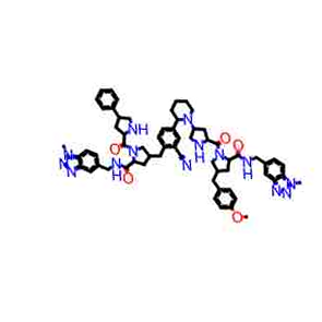 COc1ccc(CC2CC(C(=O)NCc3ccc4c(c3)nnn4C)N(C(=O)C3CC(N4CCCCC4c4ccc(CC5CC(C(=O)NCc6ccc7c(c6)nnn7C)N(C(=O)C6CC(c7ccccc7)CN6)C5)c(C#N)c4)CN3)C2)cc1